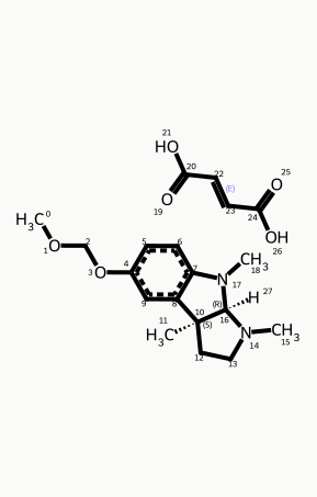 COCOc1ccc2c(c1)[C@]1(C)CCN(C)[C@@H]1N2C.O=C(O)/C=C/C(=O)O